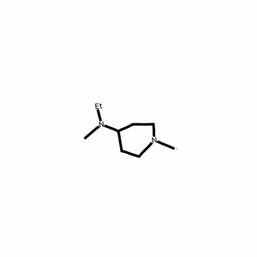 [CH2]N1CCC(N(C)CC)CC1